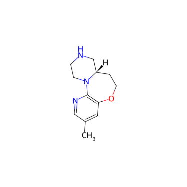 Cc1cnc2c(c1)OCC[C@H]1CNCCN21